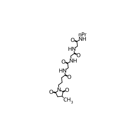 CCCNC(=O)CNC(=O)CNC(=O)CNC(=O)CCCN1C(=O)CC(C)C1=O